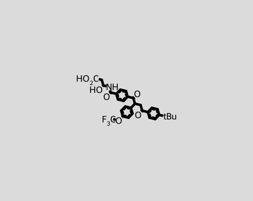 CC(C)(C)c1ccc(C(=O)CC(C(=O)c2ccc(C(=O)NC(O)CC(=O)O)cc2)c2ccc(OC(F)(F)F)cc2)cc1